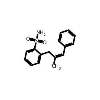 CC(=Cc1ccccc1)Cc1ccccc1S(N)(=O)=O